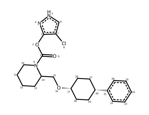 O=C(Oc1n[nH]cc1Cl)N1CCCCC1CO[C@H]1CC[C@@H](c2ccccc2)CC1